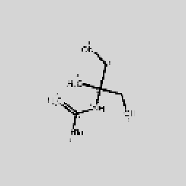 C=C(NC(C)(CO)CN=O)C(C)(C)C